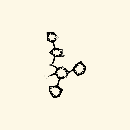 Nc1c(Nc2cc(-c3ccco3)n[nH]2)nc(-c2ccccc2)nc1-c1ccccc1